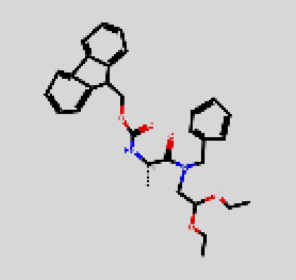 CCOC(CN(Cc1ccccc1)C(=O)[C@H](C)NC(=O)OCC1c2ccccc2-c2ccccc21)OCC